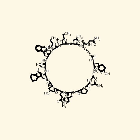 CCCC[C@H]1C(=O)N(C)[C@@H](CCCC)C(=O)N[C@@H](CC(C)C)C(=O)N[C@H](C(=O)NCC(N)=O)CSCC(=O)N[C@@H](Cc2ccc(O)cc2)C(=O)N(C)CC(=O)N[C@@H](CC(N)=O)C(=O)N2CCC[C@H]2C(=O)N[C@@H](Cc2cnc[nH]2)C(=O)N[C@@H](CCC(N)=O)C(=O)N2C[C@H](O)C[C@H]2C(=O)N[C@@H](Cc2c[nH]c3ccccc23)C(=O)N[C@@H](CO)C(=O)N[C@@H](Cc2c[nH]c3ccccc23)C(=O)N1C